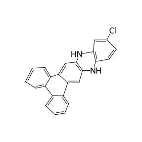 Clc1ccc2c(c1)Nc1cc3c4ccccc4c4ccccc4c3cc1N2